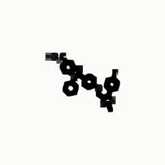 Cc1nc(-c2ccc(F)cc2)c(COc2ccc(-c3nc4cc(C(=O)O)ccc4n3C3CCCCC3)cc2)s1